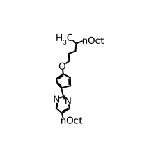 CCCCCCCCc1cnc(-c2ccc(OCCCC(C)CCCCCCCC)cc2)nc1